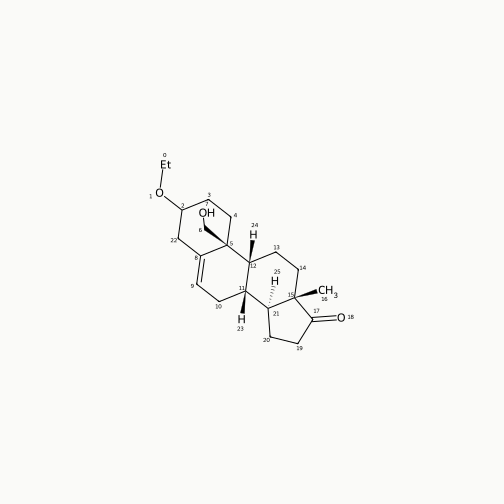 CCOC1CC[C@@]2(CO)C(=CC[C@@H]3[C@H]2CC[C@]2(C)C(=O)CC[C@@H]32)C1